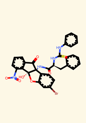 O=C(N[C@@]12C(=O)c3cccc([N+](=O)[O-])c3[C@]1(O)Oc1cc(Br)ccc12)[C@H](Cc1ccccc1)NC(=S)Nc1ccccc1